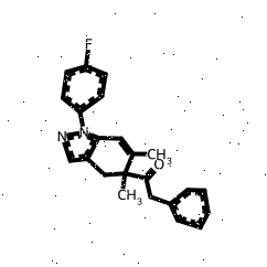 CC1=Cc2c(cnn2-c2ccc(F)cc2)CC1(C)C(=O)Cc1ccccc1